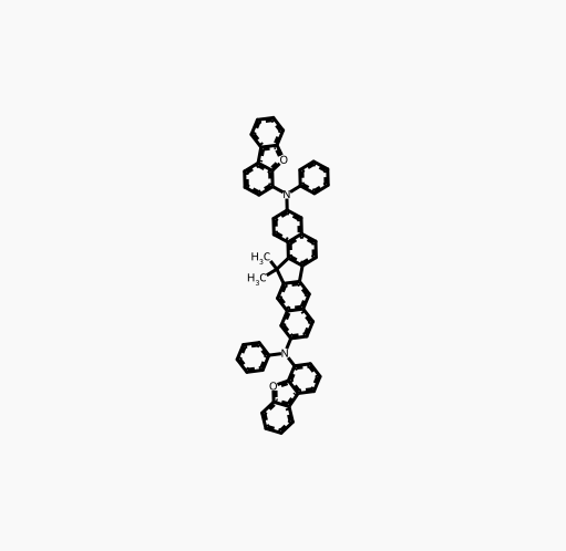 CC1(C)c2cc3cc(N(c4ccccc4)c4cccc5c4oc4ccccc45)ccc3cc2-c2ccc3cc(N(c4ccccc4)c4cccc5c4oc4ccccc45)ccc3c21